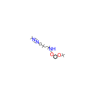 CC(C)N1CCN(C2CC(C(C)(C)CCC(C)(C)NCCOc3cccc(OCC(C)(C)C)c3)C2)CC1